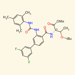 COC(=O)[C@@H](NC(=O)c1ccc(-c2cc(F)cc(F)c2)cc1NC(=O)Nc1c(C)cc(C)cc1C)C(C)OC(C)(C)C